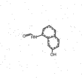 O=CNc1cccc2ccc(O)cc12